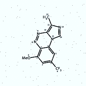 COc1cc(C(F)(F)F)cc2c1nnc1c(C)ncn12